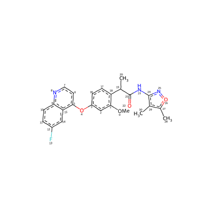 COc1cc(Oc2ccnc3ccc(F)cc23)ccc1C(C)C(=O)Nc1noc(C)c1C